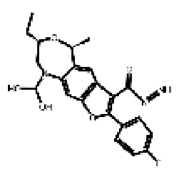 CC[C@@H]1CN(C(O)O)c2cc3oc(-c4ccc(F)cc4)c(C(=O)N=N)c3cc2[C@H](C)O1